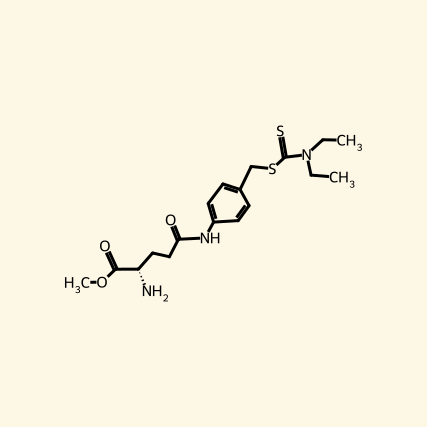 CCN(CC)C(=S)SCc1ccc(NC(=O)CC[C@H](N)C(=O)OC)cc1